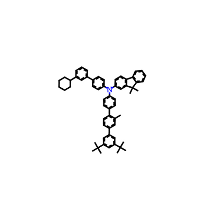 Cc1cc(-c2cc(C(C)(C)C)cc(C(C)(C)C)c2)ccc1-c1ccc(N(c2ccc(-c3cccc(C4CCCCC4)c3)cc2)c2ccc3c(c2)C(C)(C)c2ccccc2-3)cc1